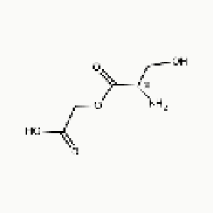 N[C@@H](CO)C(=O)OCC(=O)O